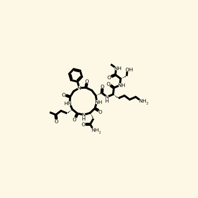 CNC(=O)[C@H](CO)NC(=O)[C@H](CCCCN)NC(=O)[C@H]1CC(=O)N(c2ccccc2)CC(=O)N[C@@H](CCC(C)=O)C(=O)N[C@@H](CC(N)=O)C(=O)N1